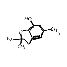 Cc1cc(O)c2c(c1)CC(C)(C)O2